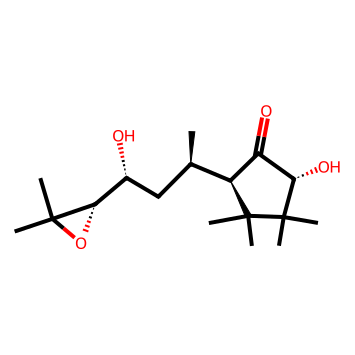 C[C@H](C[C@@H](O)[C@@H]1OC1(C)C)[C@H]1C(=O)[C@H](O)C(C)(C)C1(C)C